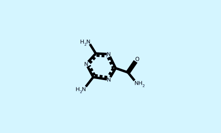 NC(=O)c1nc(N)nc(N)n1